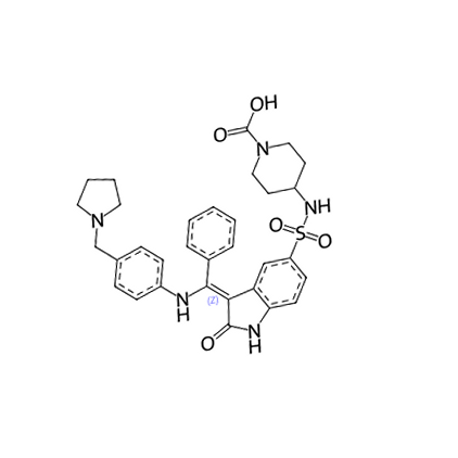 O=C1Nc2ccc(S(=O)(=O)NC3CCN(C(=O)O)CC3)cc2/C1=C(/Nc1ccc(CN2CCCC2)cc1)c1ccccc1